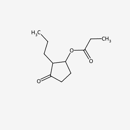 CCCC1C(=O)CCC1OC(=O)CC